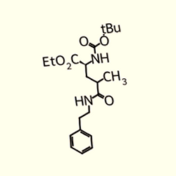 CCOC(=O)[C@H](CC(C)C(=O)NCCc1ccccc1)NC(=O)OC(C)(C)C